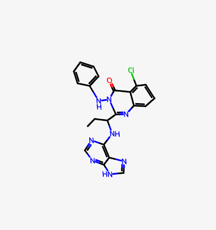 CCC(Nc1ncnc2[nH]cnc12)c1nc2cccc(Cl)c2c(=O)n1Nc1ccccc1